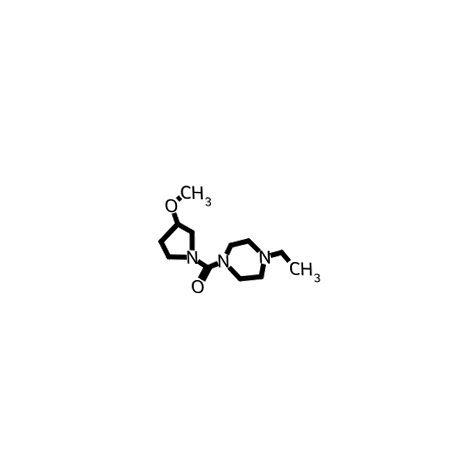 CCN1CCN(C(=O)N2CCC(OC)C2)CC1